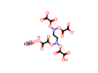 O.O.O=C([O-])C(=O)ON(CCN(OC(=O)C(=O)O)OC(=O)C(=O)O)OC(=O)C(=O)[O-].[Na+].[Na+]